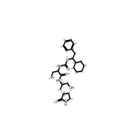 CC(C)CC(NC(=O)OC(Cc1ccccc1)C1CCCCC1)C(=O)NC(CO)C[C@@H]1CCNC1=O